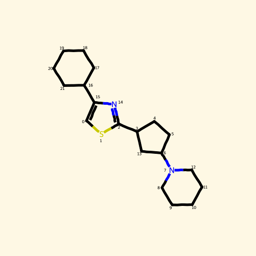 c1sc(C2CCC(N3CCCCC3)C2)nc1C1CCCCC1